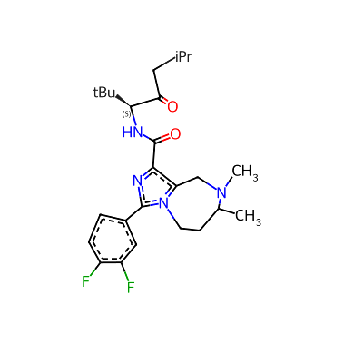 CC(C)CC(=O)[C@@H](NC(=O)c1nc(-c2ccc(F)c(F)c2)n2c1CN(C)C(C)CC2)C(C)(C)C